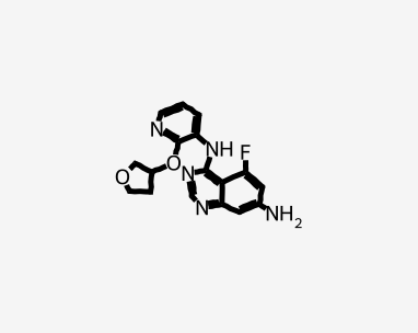 Nc1cc(F)c2c(Nc3cccnc3OC3CCOC3)ncnc2c1